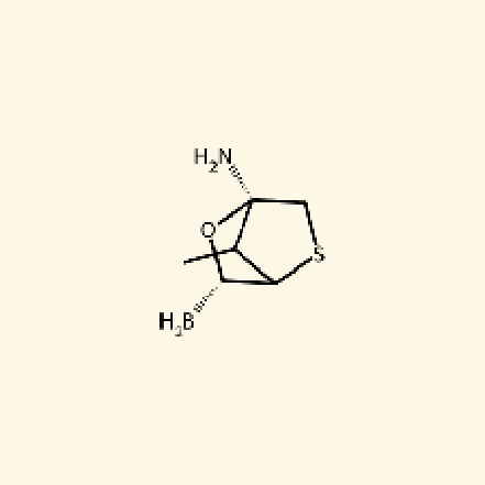 B[C@@H]1O[C@@]2(N)CSC1C2C